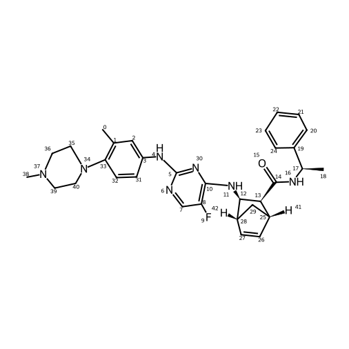 Cc1cc(Nc2ncc(F)c(N[C@H]3[C@@H](C(=O)N[C@H](C)c4ccccc4)[C@@H]4C=C[C@H]3C4)n2)ccc1N1CCN(C)CC1